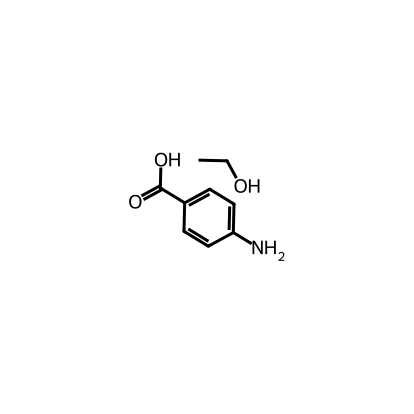 CCO.Nc1ccc(C(=O)O)cc1